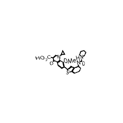 COc1c(-c2cc3c(s2)CCCC3NC(=O)N2CCCCC2)ccc2c(=O)c(C(=O)O)cn(C3CC3)c12